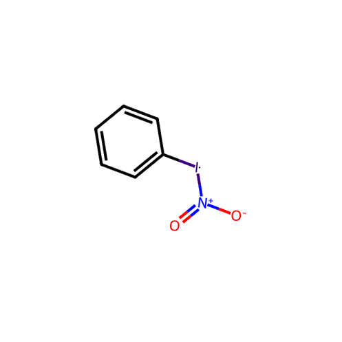 O=[N+]([O-])[I]c1ccccc1